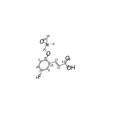 C[C@@]1(COc2ccc(F)cc2C=CC(=O)O)CO1